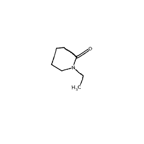 CCN1CCCCC1=O